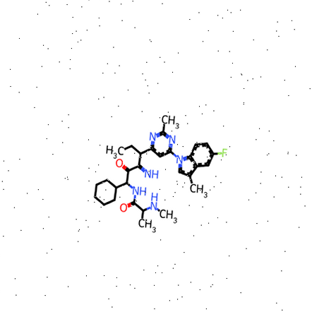 CCC(C(=N)C(=O)C(NC(=O)C(C)NC)C1CCCCC1)c1cc(-n2cc(C)c3cc(F)ccc32)nc(C)n1